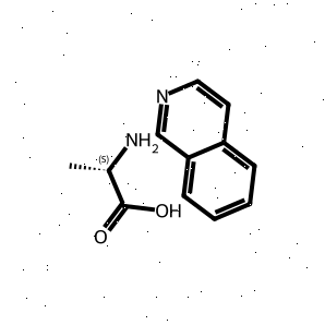 C[C@H](N)C(=O)O.c1ccc2cnccc2c1